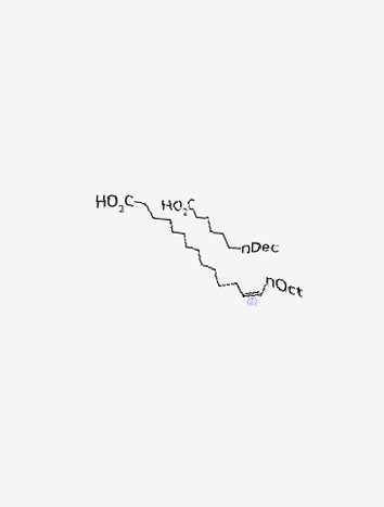 CCCCCCCC/C=C\CCCCCCCCCCCC(=O)O.CCCCCCCCCCCCCCCC(=O)O